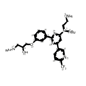 CCCCN(CCOC)c1cc(-c2ccc(C(F)(F)F)nc2)nc(-c2cccc(OCC(O)CNC)c2)n1